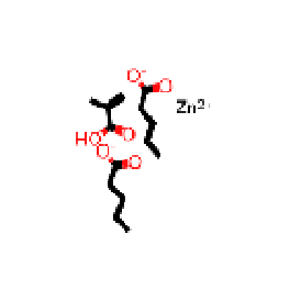 C=C(C)C(=O)O.CCCCC(=O)[O-].CCCCC(=O)[O-].[Zn+2]